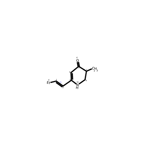 CC/C=C/C1=CC(=O)C(C)CN1